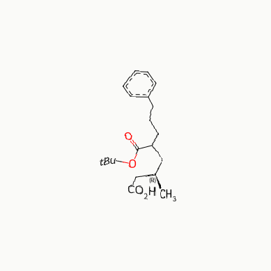 C[C@@H](CC(=O)O)CC(CCCc1ccccc1)C(=O)OC(C)(C)C